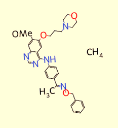 C.COc1cc2ncnc(Nc3ccc(C(C)=NOCc4ccccc4)cc3)c2cc1OCCCN1CCOCC1